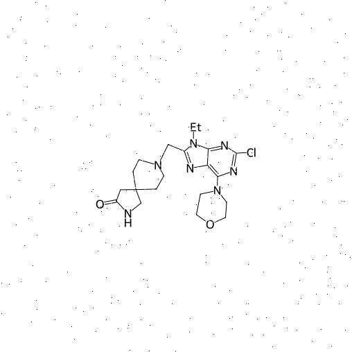 CCn1c(CN2CCC3(CC2)CNC(=O)C3)nc2c(N3CCOCC3)nc(Cl)nc21